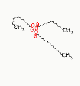 CC/C=C\C/C=C\C/C=C\CCCCCCCC(=O)O[C@H](COC(=O)CCCCCCC/C=C\CCCCCC)COC(=O)CCCCCCCCCCCCCCCCCCC